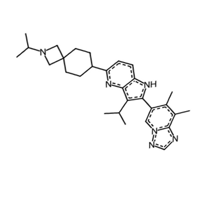 Cc1c(-c2[nH]c3ccc(C4CCC5(CC4)CN(C(C)C)C5)nc3c2C(C)C)cn2ncnc2c1C